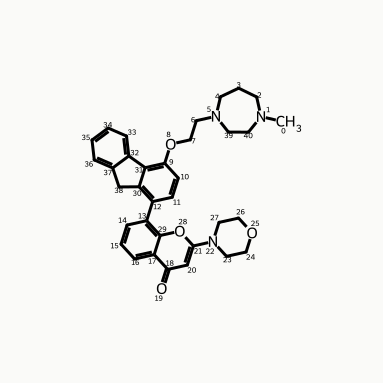 CN1CCCN(CCOc2ccc(-c3cccc4c(=O)cc(N5CCOCC5)oc34)c3c2-c2ccccc2C3)CC1